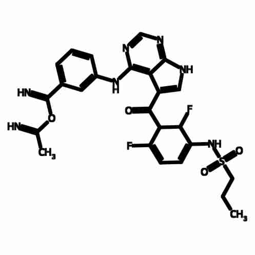 CCCS(=O)(=O)NC1=CC=C(F)C(C(=O)c2c[nH]c3ncnc(Nc4cccc(C(=N)OC(C)=N)c4)c23)C1F